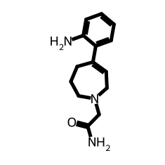 NC(=O)CN1CC=C(c2ccccc2N)CCC1